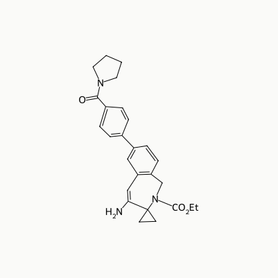 CCOC(=O)N1Cc2ccc(-c3ccc(C(=O)N4CCCC4)cc3)cc2C=C(N)C12CC2